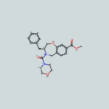 COC(=O)c1ccc2c(c1)OC[C@H](Cc1ccccc1)N(C(=O)N1CCOCC1)C2